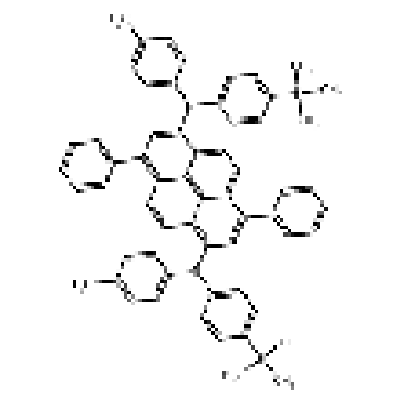 C[Si](C)(C)c1ccc(N(c2ccc(C(F)(F)F)cc2)c2cc(-c3ccccc3)c3ccc4c(N(c5ccc(C(F)(F)F)cc5)c5ccc([Si](C)(C)C)cc5)cc(-c5ccccc5)c5ccc2c3c54)cc1